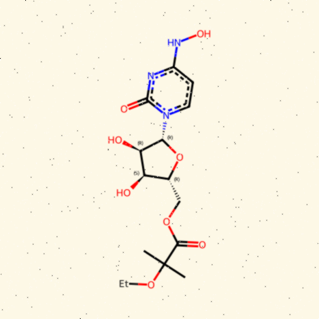 CCOC(C)(C)C(=O)OC[C@H]1O[C@@H](n2ccc(NO)nc2=O)[C@H](O)[C@@H]1O